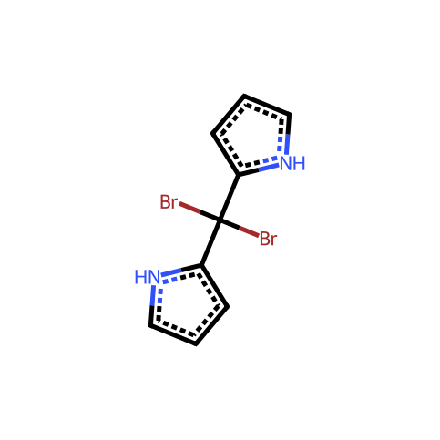 BrC(Br)(c1ccc[nH]1)c1ccc[nH]1